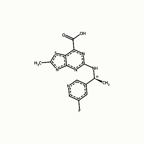 Cc1nc2nc(N[C@@H](C)c3cncc(F)c3)nc(C(=O)O)c2s1